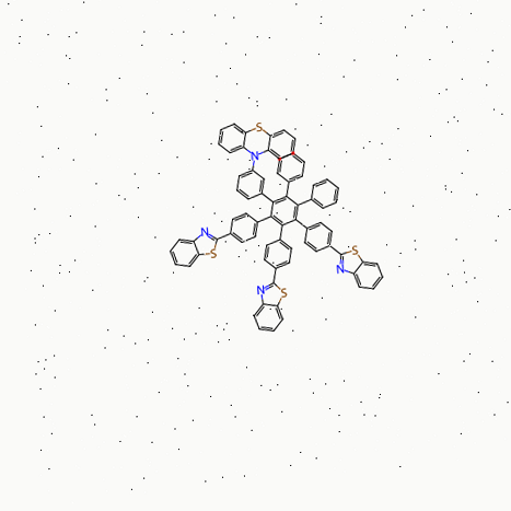 c1ccc(-c2c(-c3ccc(-c4nc5ccccc5s4)cc3)c(-c3ccc(-c4nc5ccccc5s4)cc3)c(-c3ccc(-c4nc5ccccc5s4)cc3)c(-c3cccc(N4c5ccccc5Sc5ccccc54)c3)c2-c2ccccc2)cc1